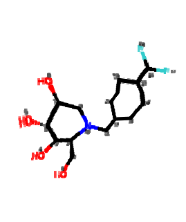 OC[C@H]1[C@@H](O)[C@H](O)[C@@H](O)CN1CC1CCC(C(F)F)CC1